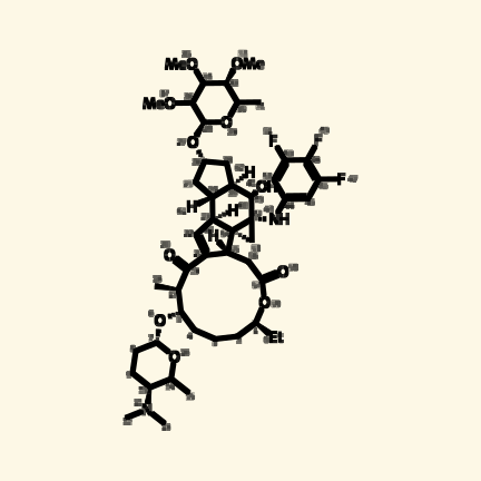 CC[C@H]1CCC[C@H](O[C@H]2CC[C@H](N(C)C)C(C)O2)[C@@H](C)C(=O)C2=C[C@H]3[C@@H]4C[C@H](O[C@@H]5OC(C)[C@H](OC)C(OC)C5OC)C[C@H]4[C@@H](O)[C@@]4(Nc5cc(F)c(F)c(F)c5)C[C@]34[C@@H]2CC(=O)O1